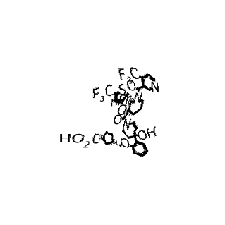 CCC[C@H]1N(C(=O)c2cnccc2C(F)(F)F)CCC[C@@]1(Oc1csc(C(F)(F)F)c1)C(=O)N1CCC(O)(c2ccccc2OC[C@H]2CC[C@@H](C(=O)O)C2)CC1